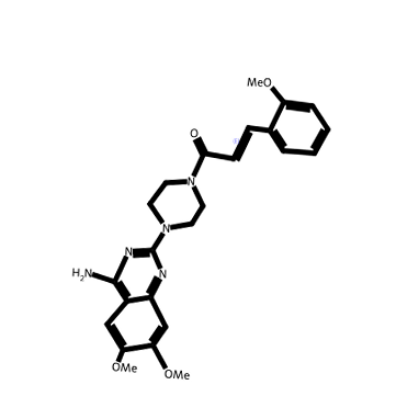 COc1ccccc1/C=C/C(=O)N1CCN(c2nc(N)c3cc(OC)c(OC)cc3n2)CC1